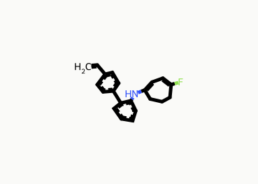 C=Cc1ccc(-c2ccccc2NC2=CC=C(F)CCC2)cc1